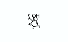 CCC1(O)[CH]CC=C1